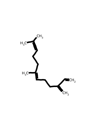 C=CC(=C)CC/C=C(/C)CCC=C(C)C